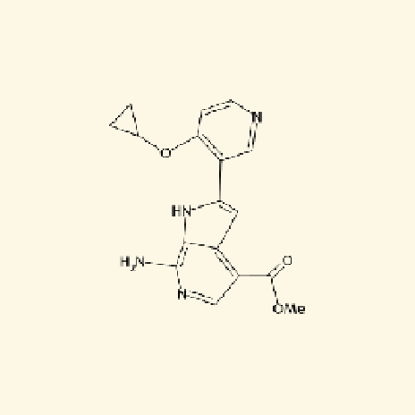 COC(=O)c1cnc(N)c2[nH]c(-c3cnccc3OC3CC3)cc12